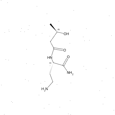 C[C@@H](O)CC(=O)N[C@@H](CCN)C(N)=O